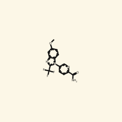 COc1ccc2c(c1)nc(C(F)(F)F)n2-c1ccc(C(N)=O)nc1